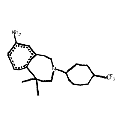 CC1(C)CN(C2CCC(C(F)(F)F)CC2)Cc2cc(N)ccc21